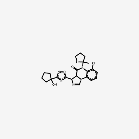 CC1(N2C(=O)C3C(c4nc(C5(O)CCCC5)no4)N=CN3c3cccc(Cl)c32)CCCO1